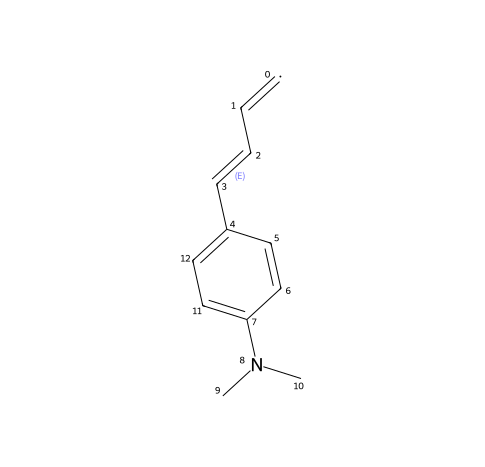 [CH]=C/C=C/c1ccc(N(C)C)cc1